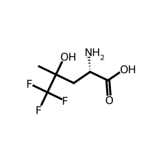 CC(O)(C[C@H](N)C(=O)O)C(F)(F)F